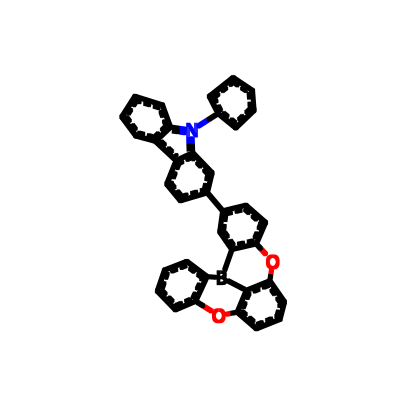 c1ccc(-n2c3ccccc3c3ccc(-c4ccc5c(c4)B4c6ccccc6Oc6cccc(c64)O5)cc32)cc1